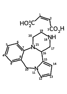 O=C(O)/C=C\C(=O)O.c1ccc2c(c1)Cn1cccc1C1CNCCN21